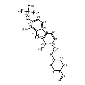 C=CC1CCC(COc2ccc3c(oc4c(F)c(OC(F)(F)F)ccc43)c2F)CC1